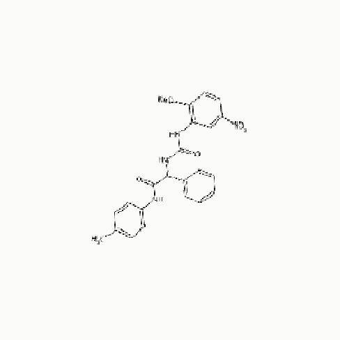 COc1ccc([N+](=O)[O-])cc1NC(=O)NC(C(=O)Nc1ccc(C)cc1)c1ccccc1